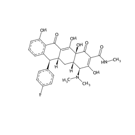 CNC(=O)C1=C(O)[C@@H](N(C)C)[C@@H]2C[C@H]3C(=C(O)[C@]2(O)C1=O)C(=O)c1c(O)cccc1[C@@H]3c1ccc(F)cc1